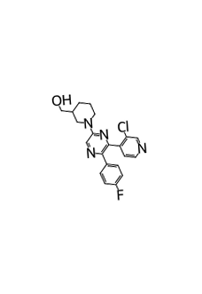 OCC1CCCN(c2cnc(-c3ccc(F)cc3)c(-c3ccncc3Cl)n2)C1